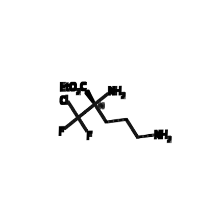 CCOC(=O)[C@@](N)(CCCN)C(F)(F)Cl